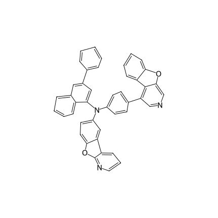 c1ccc(-c2cc(N(c3ccc(-c4cncc5oc6ccccc6c45)cc3)c3ccc4oc5ncccc5c4c3)c3ccccc3c2)cc1